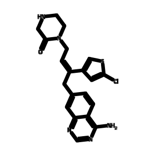 Nc1ncnc2cc(CC(=CCN3CCNCC3=O)c3csc(Cl)c3)ccc12